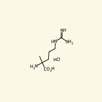 CC(N)(CCCNC(=N)N)C(=O)O.Cl